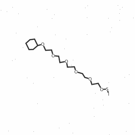 ISOCCOCCOCCOCCOCCOC1CCCCC1